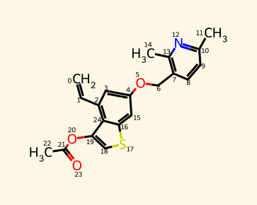 C=Cc1cc(OCc2ccc(C)nc2C)cc2scc(OC(C)=O)c12